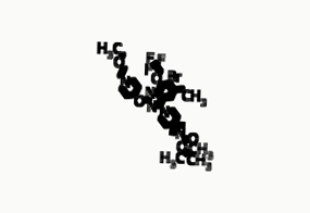 CCOCCN1CCC(Oc2nc(N3CCC4(CC3)CN(C(=O)OC(C)(C)C)C4)c3cc(CC)c(Br)c(OCC(F)(F)F)c3n2)CC1